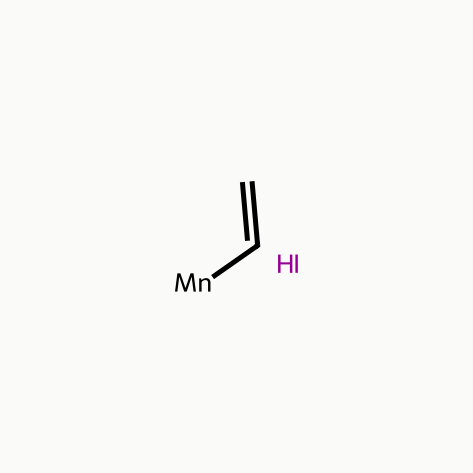 C=[CH][Mn].I